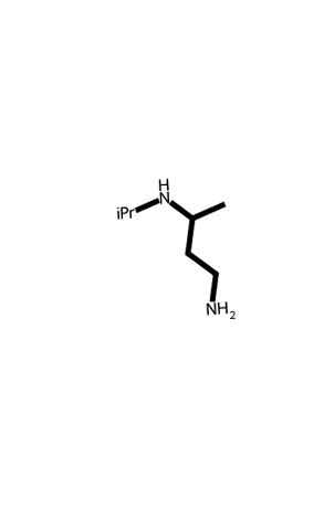 CC(C)NC(C)CCN